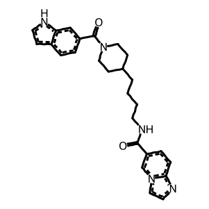 O=C(NCCCCC1CCN(C(=O)c2ccc3cc[nH]c3c2)CC1)c1ccc2nccn2c1